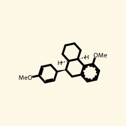 COC1=CCC([C@@H]2Cc3cccc(OC)c3[C@@H]3CCCC[C@@H]32)C=C1